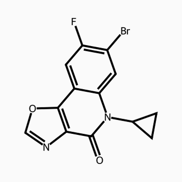 O=c1c2ncoc2c2cc(F)c(Br)cc2n1C1CC1